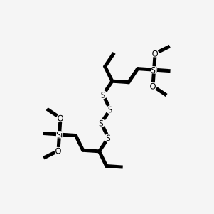 CCC(CC[Si](C)(OC)OC)SSSSC(CC)CC[Si](C)(OC)OC